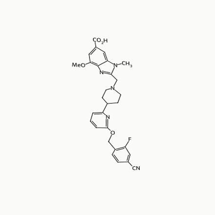 COc1cc(C(=O)O)cc2c1nc(CN1CCC(c3cccc(OCc4ccc(C#N)cc4F)n3)CC1)n2C